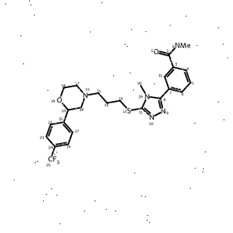 CNC(=O)c1cccc(-c2nnc(SCCCN3CCOC(c4ccc(C(F)(F)F)cc4)C3)n2C)c1